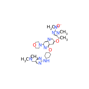 C=[N+]([O-])c1ncc(C(C)Oc2cnc3cc(N4CCOCC4)nc(O[C@H]4CC[C@@H](Nc5ncc(CN(C)C)cn5)CC4)c3c2)n1C